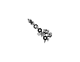 COc1cc(N2CCC(N3CC4(CN(C)C4)C3)CC2)ccc1Nc1cc(N2OCCC2c2cccc(F)c2F)ncn1